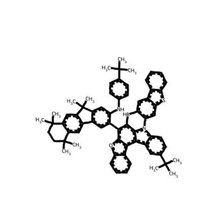 CC(C)(C)c1ccc(Nc2cc3c(cc2-c2c4c5c(c6cc(C(C)(C)C)ccc6n5-c5cc6sc7ccccc7c6cc5B4)c4c2oc2ccccc24)-c2cc4c(cc2C3(C)C)C(C)(C)CCC4(C)C)cc1